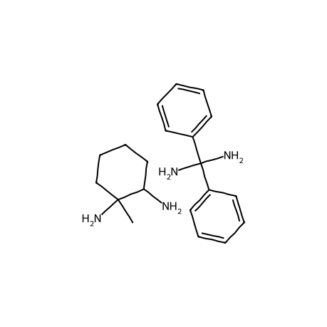 CC1(N)CCCCC1N.NC(N)(c1ccccc1)c1ccccc1